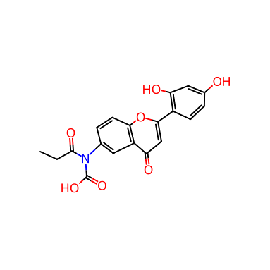 CCC(=O)N(C(=O)O)c1ccc2oc(-c3ccc(O)cc3O)cc(=O)c2c1